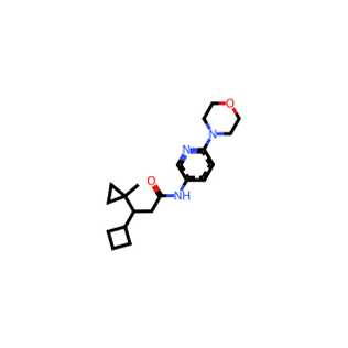 CC1(C(CC(=O)Nc2ccc(N3CCOCC3)nc2)C2CCC2)CC1